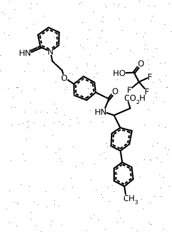 Cc1ccc(-c2ccc(C(CC(=O)O)NC(=O)c3ccc(OCCn4ccccc4=N)cc3)cc2)cc1.O=C(O)C(F)(F)F